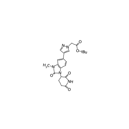 Cn1c(=O)n(C2CCC(=O)NC2=O)c2ccc(-c3cnn(CC(=O)OC(C)(C)C)c3)cc21